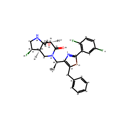 CC(C)(C)[C@H](c1nc(-c2cc(F)ccc2F)sc1Cc1ccccc1)N1C[C@H]2[C@@H](F)CNC23CCO[C@@H]3C1=O